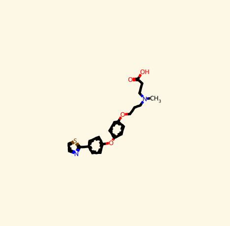 CN(CCCOc1ccc(Oc2ccc(-c3nccs3)cc2)cc1)CCC(=O)O